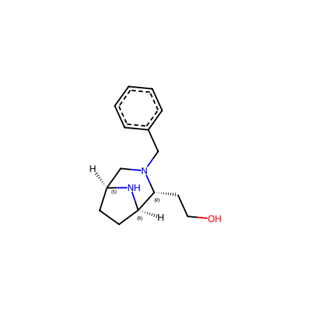 OCC[C@@H]1[C@H]2CC[C@@H](CN1Cc1ccccc1)N2